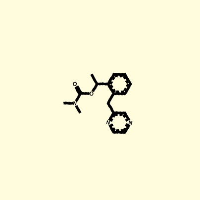 CC(OC(=O)N(C)C)c1ccccc1Cc1cnccn1